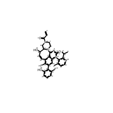 C=CC(=O)N1CCN2c3nc(=O)n(-c4c(C)ccnc4C(C)C)c4cc(-c5c(O)cccc5F)c(F)c(c34)/C=C\C(O)C2C1